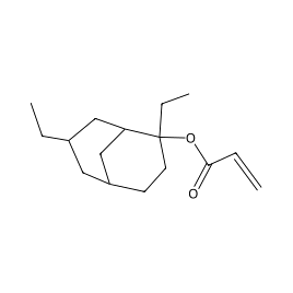 C=CC(=O)OC1(CC)CCC2CC(CC)CC1C2